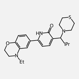 CCN1CCOc2ccc(-c3ccc(C(C(C)C)N4CCSCC4)c(=O)[nH]3)cc21